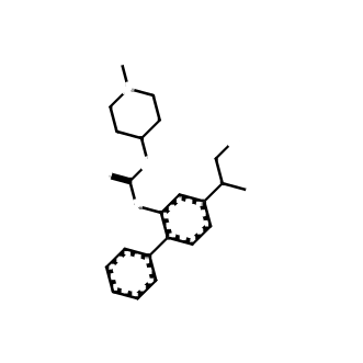 CC(CC(=O)O)c1ccc(-c2ccccc2)c(NC(=O)OC2CCN(C)CC2)c1